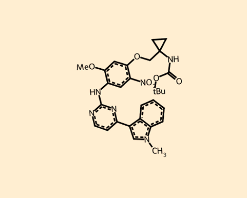 COc1cc(OCC2(NC(=O)OC(C)(C)C)CC2)c([N+](=O)[O-])cc1Nc1nccc(-c2cn(C)c3ccccc23)n1